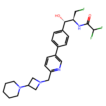 O=C(N[C@H](CF)[C@@H](O)c1ccc(-c2ccc(CN3CC(N4CCCCC4)C3)nc2)cc1)C(F)F